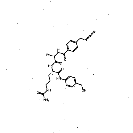 CC(C)[C@H](NC(=O)c1ccc(CN=[N+]=[N-])cc1)C(=O)N[C@@H](CCCNC(N)=O)C(=O)Nc1ccc(CO)cc1